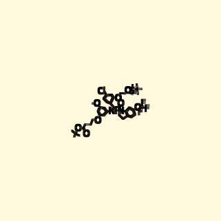 COc1cc(NC(C(=O)N2CCc3ccc(OC(F)(F)F)cc32)c2ccc(Cl)cc2OCCO[Si](C)(C)C(C)(C)C)cc(OCCCC(=O)OC(C)(C)C)c1